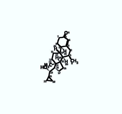 C[C@@H]1CC2=CC(=O)CC[C@@H]2[C@H]2CC[C@@]3(C)[C@H](CC[C@@H]3[C@@H](O)C3CC3)[C@@H]21